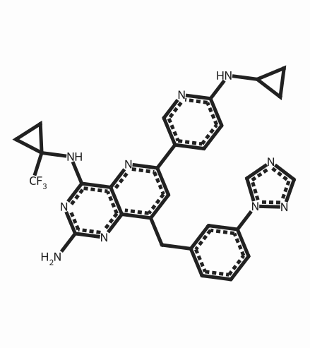 Nc1nc(NC2(C(F)(F)F)CC2)c2nc(-c3ccc(NC4CC4)nc3)cc(Cc3cccc(-n4cncn4)c3)c2n1